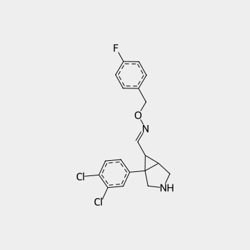 Fc1ccc(CON=CC2C3CNCC23c2ccc(Cl)c(Cl)c2)cc1